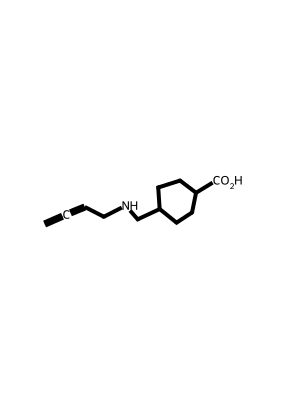 C=C=CCNCC1CCC(C(=O)O)CC1